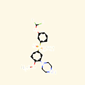 COc1ccc(S(=O)(=O)c2cccc(OC(F)F)c2)cc1N1CCNCC1.Cl